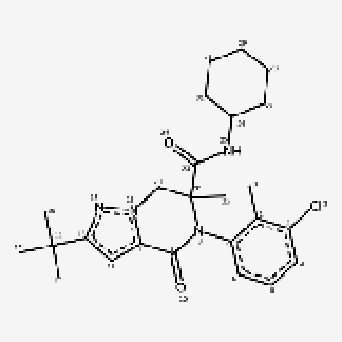 Cc1c(Cl)cccc1N1C(=O)c2cc(C(C)(C)C)nn2CC1(C)C(=O)NC1CCCCC1